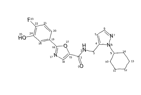 O=C(NCc1ccnn1C1CCCCC1)c1cnc(-c2ccc(F)c(O)c2)o1